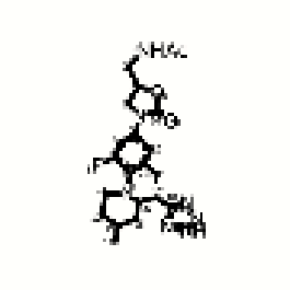 CC(=O)NCC1CN(c2cc(F)c(N3CCC(C)CC3Cc3nn[nH]n3)c(F)c2)C(=O)O1